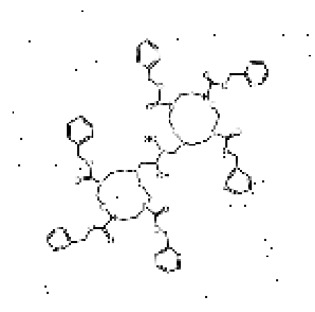 O=C(OCc1ccccc1)N1CCN(CC(O)C(O)CN2CCN(C(=O)OCc3ccccc3)CCN(C(=O)OCc3ccccc3)CCN(C(=O)OCc3ccccc3)CC2)CCN(C(=O)OCc2ccccc2)CCN(C(=O)OCc2ccccc2)CC1